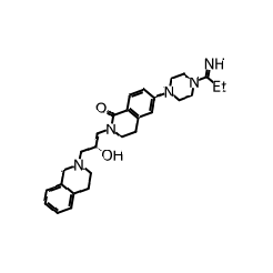 CCC(=N)N1CCN(c2ccc3c(c2)CCN(C[C@H](O)CN2CCc4ccccc4C2)C3=O)CC1